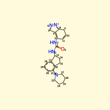 O=C(NC1=C2C=NN=C2CC=C1)NC1CCc2c1cccc2N1CCCCC1